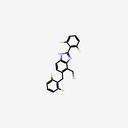 Fc1cccc(F)c1Cc1ccc2[nH]c(-c3c(F)cccc3F)nc2c1CCl